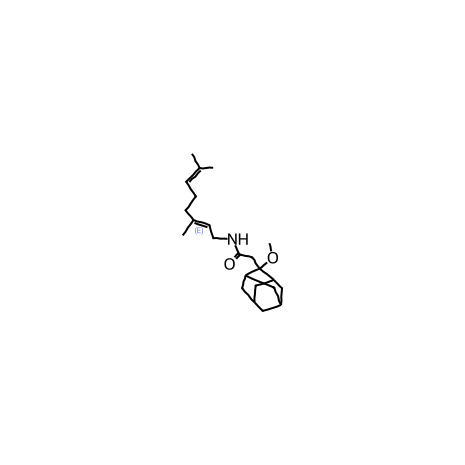 COC1(CC(=O)NC/C=C(\C)CCC=C(C)C)C2CC3CC(C2)CC1C3